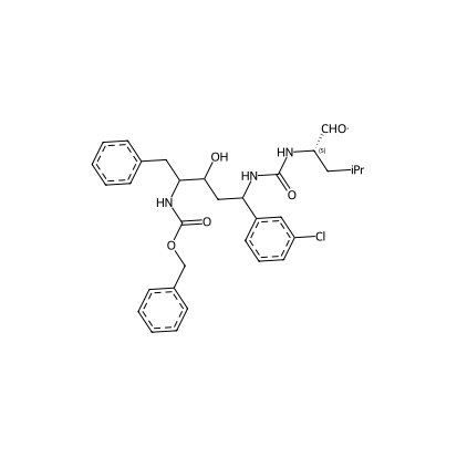 CC(C)C[C@@H]([C]=O)NC(=O)NC(CC(O)C(Cc1ccccc1)NC(=O)OCc1ccccc1)c1cccc(Cl)c1